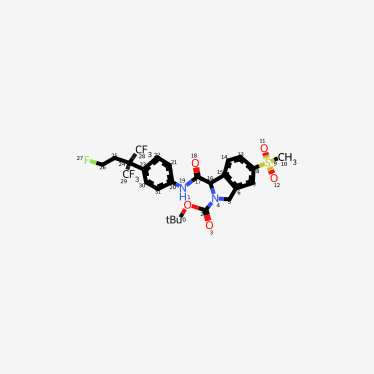 CC(C)(C)OC(=O)N1Cc2cc(S(C)(=O)=O)ccc2C1C(=O)Nc1ccc(C(CCF)(C(F)(F)F)C(F)(F)F)cc1